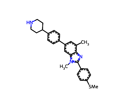 CSc1ccc(-c2nc3c(C)cc(-c4ccc(C5CCNCC5)cc4)cc3n2C)cc1